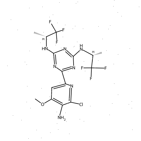 COc1cc(-c2nc(N[C@H](C)C(F)(F)F)nc(N[C@H](C)C(F)(F)F)n2)nc(Cl)c1N